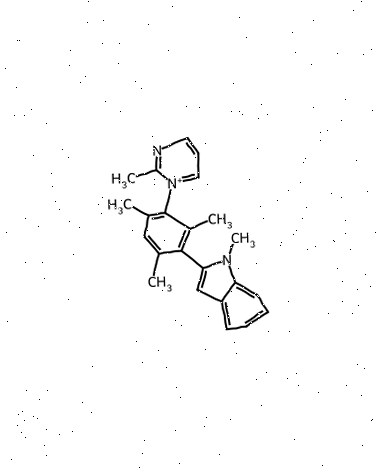 Cc1cc(C)c(-[n+]2cccnc2C)c(C)c1-c1cc2ccccc2n1C